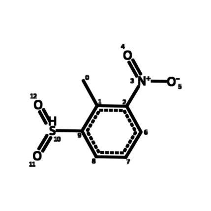 Cc1c([N+](=O)[O-])cccc1[SH](=O)=O